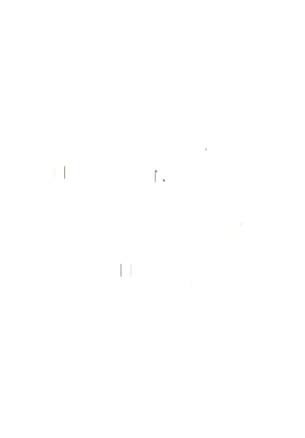 CC(C)C(=O)[C@@H]1[C@H]2C[C@H]2CN1C(C)C